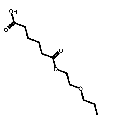 CCCCOCCOC(=O)CCCCC(=O)O